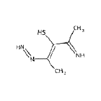 CC(=N)/C(S)=C(\C)N=N